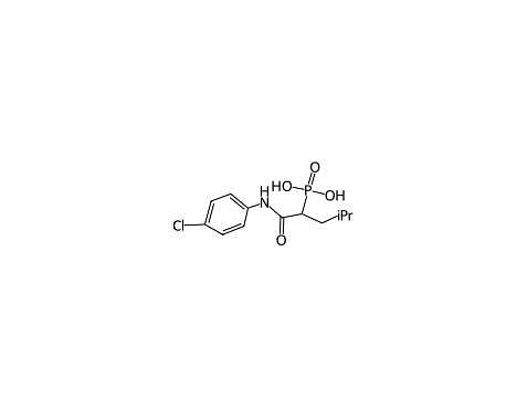 CC(C)CC(C(=O)Nc1ccc(Cl)cc1)P(=O)(O)O